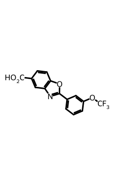 O=C(O)c1ccc2oc(-c3cccc(OC(F)(F)F)c3)nc2c1